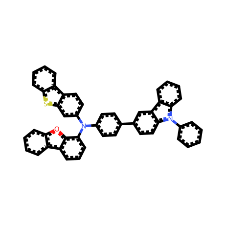 c1ccc(-n2c3ccccc3c3cc(-c4ccc(N(c5ccc6c(c5)sc5ccccc56)c5cccc6c5oc5ccccc56)cc4)ccc32)cc1